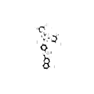 N[C@@H]1C[C@H](N)CN(c2nc(Nc3ccc(NC(=O)c4cc5cccc(O)c5cc4O)cc3)nc(N3C[C@H](N)C[C@H](N)C3)n2)C1